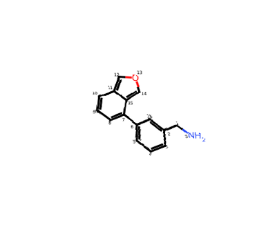 NCc1cccc(-c2c[c]cc3cocc23)c1